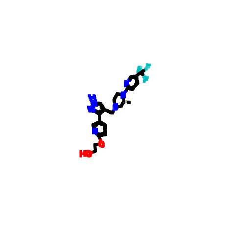 C[C@@H]1CN(Cc2c[nH]nc2-c2ccc(OCCO)nc2)CCN1c1ccc(C(F)(F)F)cn1